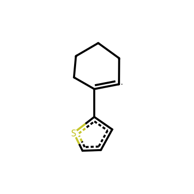 [C]1=C(c2cccs2)CCCC1